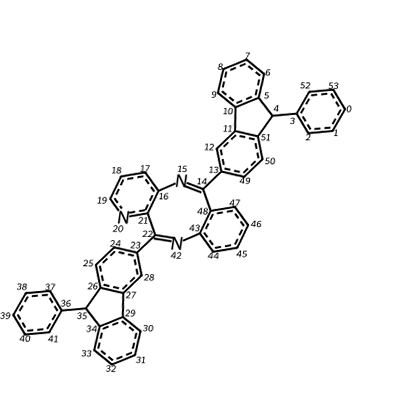 c1ccc(C2c3ccccc3-c3cc(/C4=N/c5cccnc5/C(c5ccc6c(c5)-c5ccccc5C6c5ccccc5)=N\c5ccccc54)ccc32)cc1